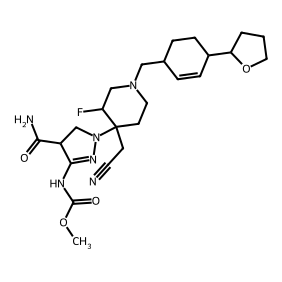 COC(=O)NC1=NN(C2(CC#N)CCN(CC3C=CC(C4CCCO4)CC3)CC2F)CC1C(N)=O